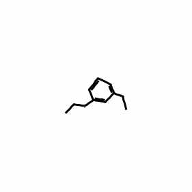 CC[CH]c1cccc(CC)c1